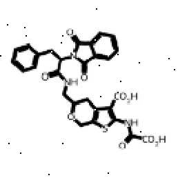 O=C(O)C(=O)Nc1sc2c(c1C(=O)O)CC(CNC(=O)C(Cc1ccccc1)N1C(=O)c3ccccc3C1=O)OC2